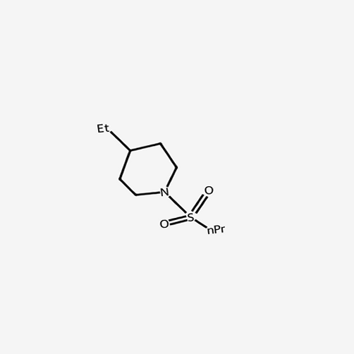 CCCS(=O)(=O)N1CCC(CC)CC1